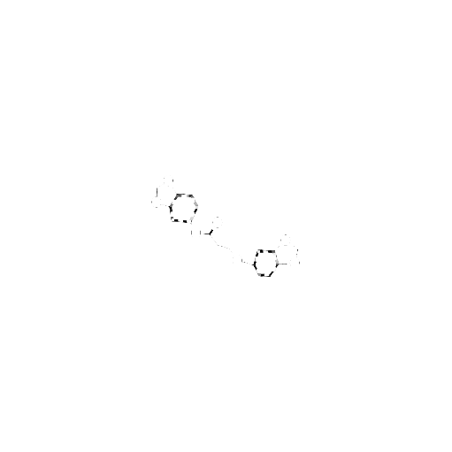 O=C(CCOc1ccc2c(c1)OCO2)Oc1ccc2c(c1)OCO2